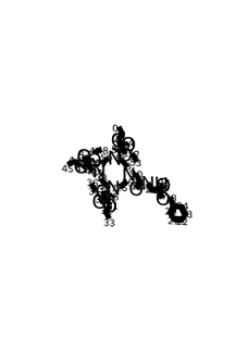 CCOP(=O)(CN1CCN(CC(=O)NCC(=O)OCc2ccccc2)CCN(CP(=O)(OCC)OCC)CCN(CP(=O)(OCC)OCC)CC1)OCC